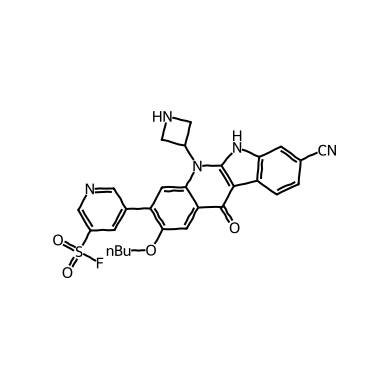 CCCCOc1cc2c(=O)c3c4ccc(C#N)cc4[nH]c3n(C3CNC3)c2cc1-c1cncc(S(=O)(=O)F)c1